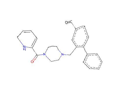 O=Cc1ccc(-c2ccccc2)c(CN2CCN(C(=O)C3=CC=CCN3)CC2)c1